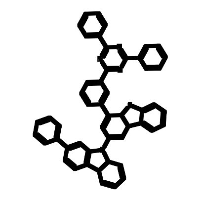 C1=CC2c3ccc(-c4ccccc4)cc3N(C3=CC4c5ccccc5SC4C(c4cccc(-c5nc(-c6ccccc6)nc(-c6ccccc6)n5)c4)=C3)C2C=C1